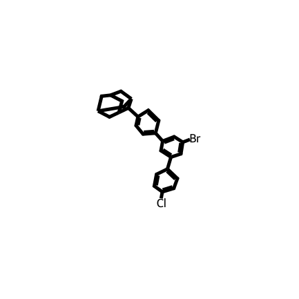 Clc1ccc(-c2cc(Br)cc(-c3ccc(C4C5CC6CC(C5)CC4C6)cc3)c2)cc1